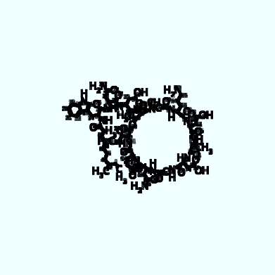 CCC(C)CCCCCCC(=O)NC(Cc1c[nH]c2ccccc12)C(=O)NC(CC(N)=O)C(=O)NC(CC(=O)O)C(=O)NC1C(=O)N(C)CC(=O)NC(CCCN)C(=O)NC(CC(=O)O)C(=O)NC(C)C(=O)NC(CC(=O)O)C(=O)NCC(=O)NC(CC(N)=O)C(=O)NC(CCC(=O)O)C(=O)NC(C(C)CC)C(=O)OC1C